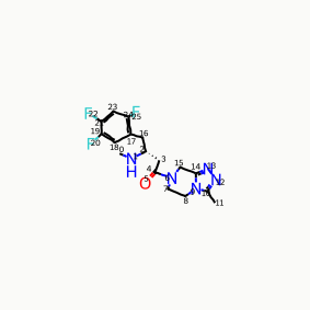 CN[C@@H](CC(=O)N1CCn2c(C)nnc2C1)Cc1cc(F)c(F)cc1F